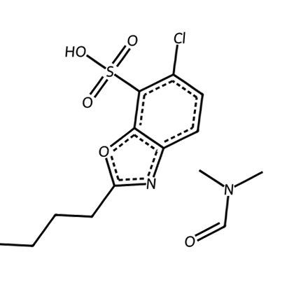 CCCCc1nc2ccc(Cl)c(S(=O)(=O)O)c2o1.CN(C)C=O